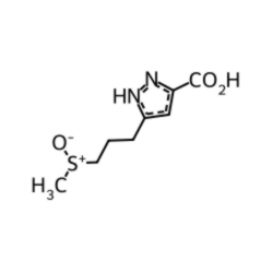 C[S+]([O-])CCCc1cc(C(=O)O)n[nH]1